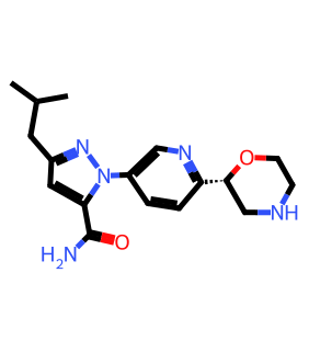 CC(C)Cc1cc(C(N)=O)n(-c2ccc([C@H]3CNCCO3)nc2)n1